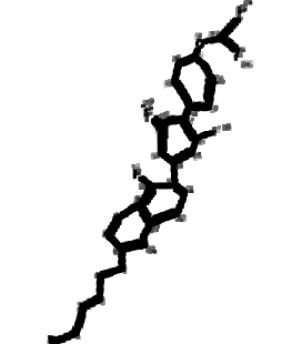 CCCCCCc1ccc2c(F)c(-c3cc(F)c(-c4ccc(OC(F)F)cc4)c(F)c3)ccc2c1